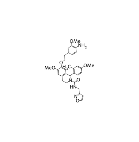 COc1ccc(C2c3cc(OCCc4ccc(N)c(OC)c4)c(OC)cc3CCN2C(=O)NCc2ccon2)c(C)c1